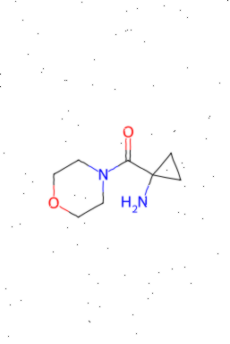 NC1(C(=O)N2CCOCC2)CC1